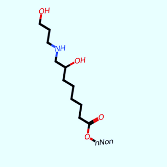 CCCCCCCCCOC(=O)CCCCCC(O)CNCCCO